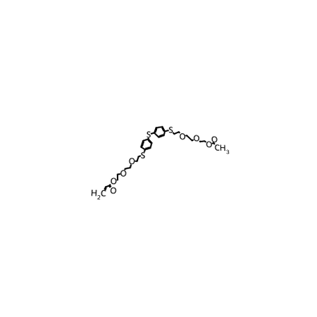 C=CC(=O)OCCOCCOCCSc1ccc(Sc2ccc(SCCOCCOCCOC(C)=O)cc2)cc1